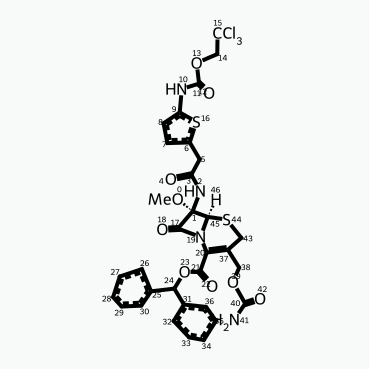 CO[C@@]1(NC(=O)Cc2ccc(NC(=O)OCC(Cl)(Cl)Cl)s2)C(=O)N2C(C(=O)OC(c3ccccc3)c3ccccc3)=C(COC(N)=O)CS[C@@H]21